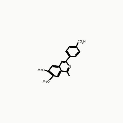 COc1cc2cc(-c3ccc(C(=O)O)cc3)nc(C)c2cc1OC